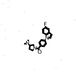 CN(C)C1CCN(C(=O)c2ccc(-n3ccc4cc(F)ccc43)cc2)C1